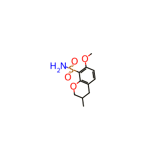 COc1ccc2c(c1S(N)(=O)=O)OCC(C)C2